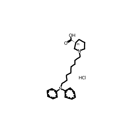 Cl.O=C(O)[C@@H]1CCCN(CCCCCCCCN(c2ccccc2)c2ccccc2)C1